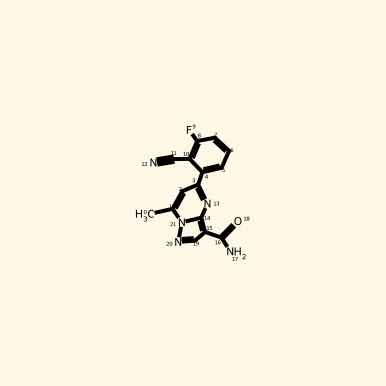 Cc1cc(-c2cccc(F)c2C#N)nc2c(C(N)=O)cnn12